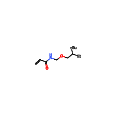 C=CC(=O)NCOCC(CC)CCCC